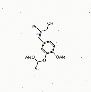 CCC(OC)Oc1cc(/C=C(\CO)C(C)C)ccc1OC